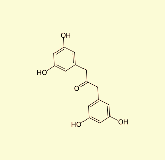 O=C(Cc1cc(O)cc(O)c1)Cc1cc(O)cc(O)c1